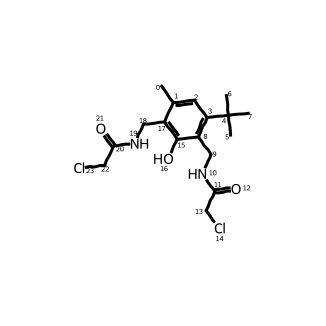 Cc1cc(C(C)(C)C)c(CNC(=O)CCl)c(O)c1CNC(=O)CCl